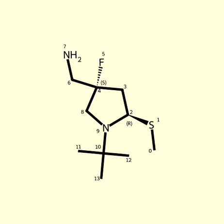 CS[C@@H]1C[C@](F)(CN)CN1C(C)(C)C